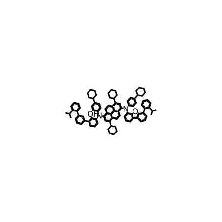 CC(C)c1ccccc1-c1cccc(-c2cccc(N(c3ccc(C4CCCCC4)cc3)c3cc(C4CCCCC4)c4ccc5c(N(c6ccc(C7CCCCC7)cc6)c6cccc7c6oc6c(-c8ccccc8C(C)C)cccc67)cc(C6CCCCC6)c6ccc3c4c65)c2O)c1